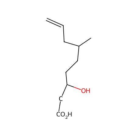 C=CCC(C)CCC(O)CC(=O)O